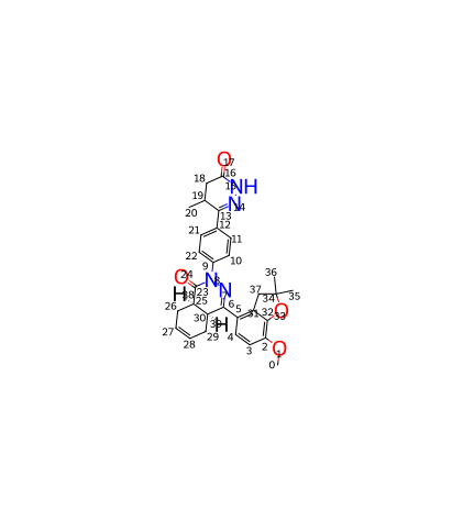 COc1ccc(C2=NN(c3ccc(C4=NNC(=O)CC4C)cc3)C(=O)[C@@H]3CC=CC[C@H]23)c2c1OC(C)(C)C2